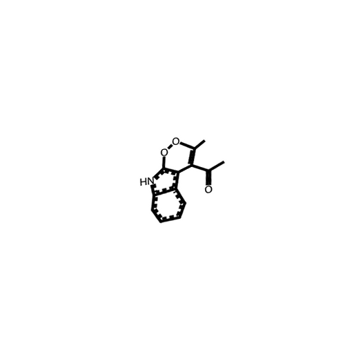 CC(=O)C1=C(C)OOc2[nH]c3ccccc3c21